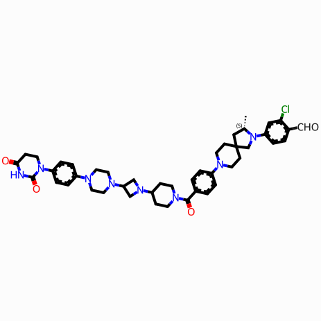 C[C@H]1CC2(CCN(c3ccc(C(=O)N4CCC(N5CC(N6CCN(c7ccc(N8CCC(=O)NC8=O)cc7)CC6)C5)CC4)cc3)CC2)CN1c1ccc(C=O)c(Cl)c1